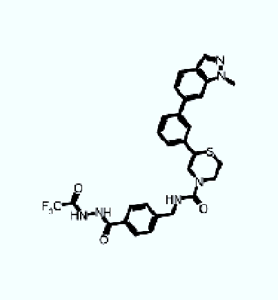 Cn1ncc2ccc(-c3cccc(C4CN(C(=O)NCc5ccc(C(=O)NNC(=O)C(F)(F)F)cc5)CCS4)c3)cc21